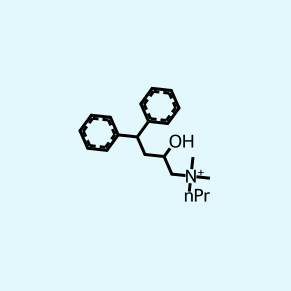 CCC[N+](C)(C)CC(O)CC(c1ccccc1)c1ccccc1